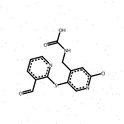 O=Cc1cccnc1Sc1cnc(Cl)cc1CNC(=O)O